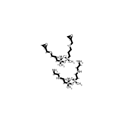 C[Si](C)(CCCOCC1CO1)O[Si](C)(C)CCCOCC1CO1.C[Si](C)(CCNCCN)O[Si](C)(C)CCNCCN